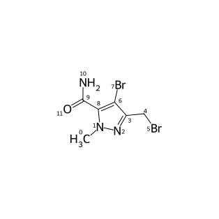 Cn1nc(CBr)c(Br)c1C(N)=O